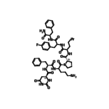 CC(C)CCC(NC(=O)[C@@H]1CCCN1C(=O)C(CCCN)NC(=O)C(Cc1ccccc1)NC(=O)[C@@H]1CC(=O)NC(=O)N1)C(=O)NC(Cc1ccc(F)cc1)C(=O)NC(Cc1ccccc1)C(N)=O